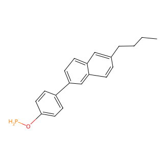 CCCCc1ccc2cc(-c3ccc(OP)cc3)ccc2c1